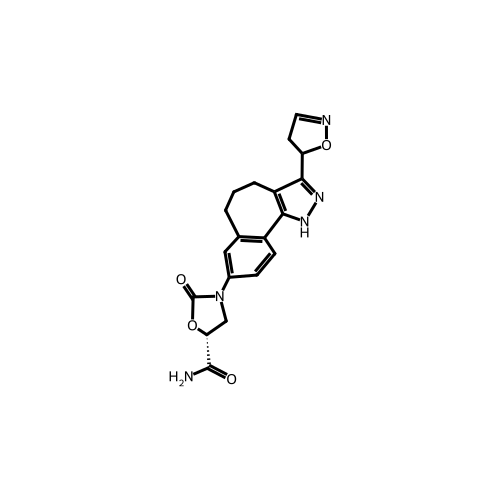 NC(=O)[C@H]1CN(c2ccc3c(c2)CCCc2c(C4CC=NO4)n[nH]c2-3)C(=O)O1